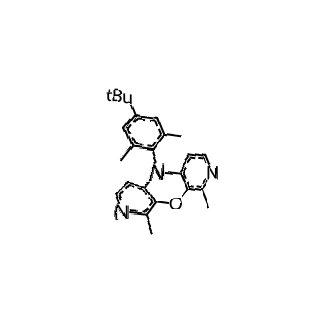 Cc1cc(C(C)(C)C)cc(C)c1N1c2ccnc(C)c2Oc2c1ccnc2C